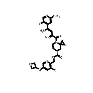 COc1cc(/C(N)=C/C(=N)C(=O)N2CC[C@H](C(=O)NCc3ncc(OC4COC4)cc3Cl)CC23CC3)c(F)cn1